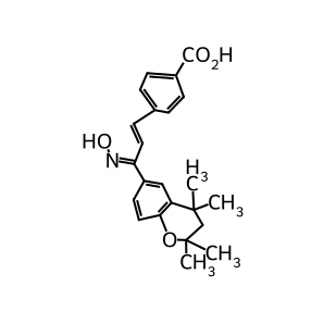 CC1(C)CC(C)(C)c2cc(C(C=Cc3ccc(C(=O)O)cc3)=NO)ccc2O1